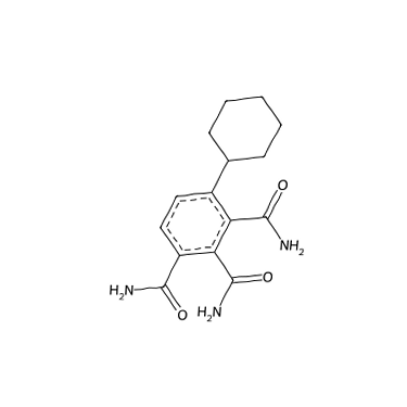 NC(=O)c1ccc(C2CCCCC2)c(C(N)=O)c1C(N)=O